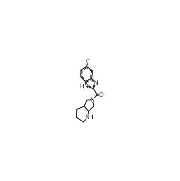 O=C(c1nc2cc(Cl)ccc2[nH]1)N1CC2CCCNC2C1